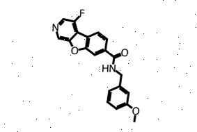 COc1cccc(CNC(=O)c2ccc3c(c2)oc2cncc(F)c23)c1